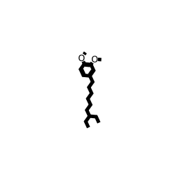 CCC(CC)CCCCCCc1ccc(OC)c(OC)c1